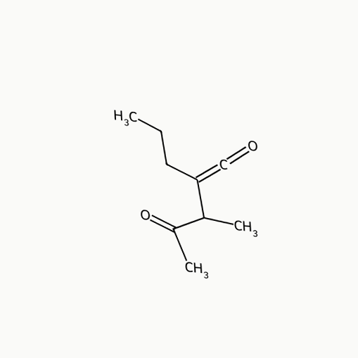 CCCC(=C=O)C(C)C(C)=O